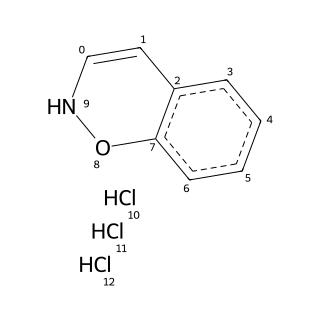 C1=Cc2ccccc2ON1.Cl.Cl.Cl